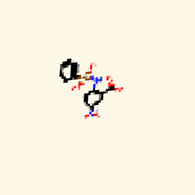 O=C(O)c1cc([N+](=O)[O-])ccc1NS(=O)(=O)c1ccccc1